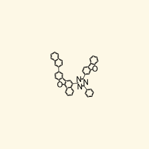 c1ccc(-c2nc(-c3ccc4c(c3)oc3ccccc34)nc(-c3cc4c5cc(-c6ccc7ccccc7c6)ccc5oc4c4ccccc34)n2)cc1